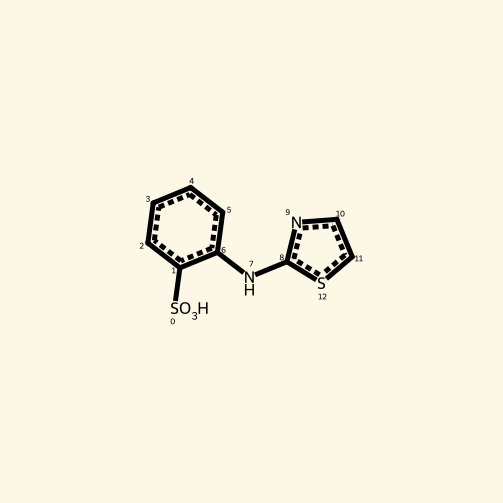 O=S(=O)(O)c1ccccc1Nc1nccs1